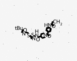 C=CC(=O)Nc1ccc(C(=O)N2CCC(C(=O)Nc3ncc(SCc4ncc(C(C)(C)C)o4)s3)CC2)cc1